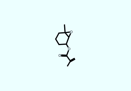 C=C(C)C(=O)OC1CCCC2(C)OC12